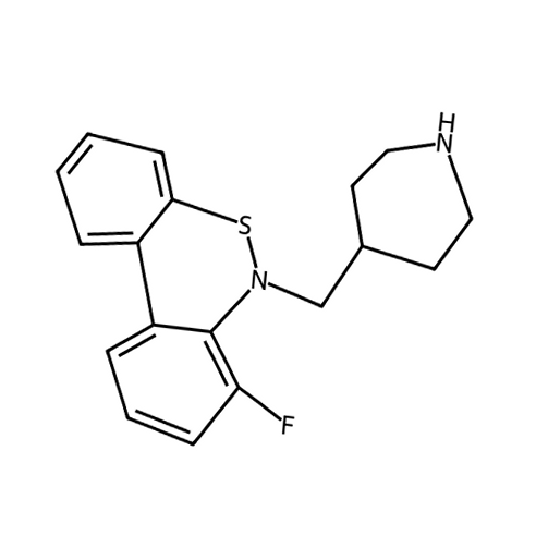 Fc1cccc2c1N(CC1CCNCC1)Sc1ccccc1-2